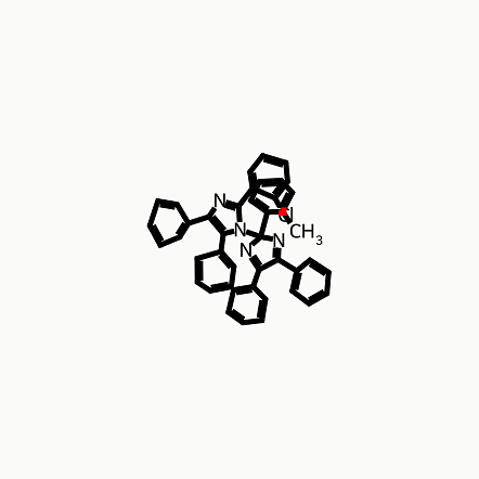 Cc1ccccc1C1(n2c(-c3ccccc3Cl)nc(-c3ccccc3)c2-c2ccccc2)N=C(c2ccccc2)C(c2ccccc2)=N1